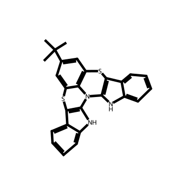 CC(C)(C)c1cc2c3c(c1)Sc1c([nH]c4ccccc14)N3c1[nH]c3ccccc3c1S2